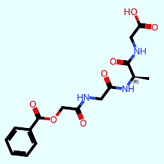 C[C@@H](NC(=O)CNC(=O)COC(=O)c1ccccc1)C(=O)NCC(=O)O